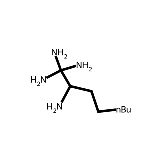 CCCCCCC(N)C(N)(N)N